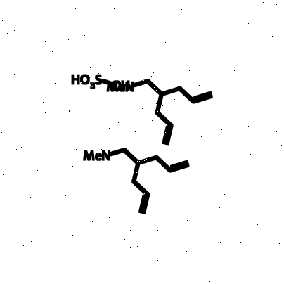 C=CCC(CC=C)CNC.C=CCC(CC=C)CNC.O=S(=O)(O)O